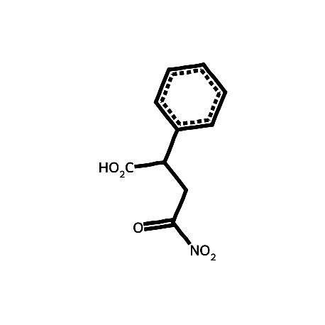 O=C(O)C(CC(=O)[N+](=O)[O-])c1ccccc1